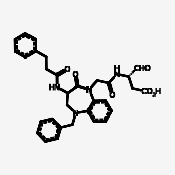 O=C[C@H](CC(=O)O)NC(=O)CN1C(=O)C(NC(=O)CCc2ccccc2)CN(Cc2ccccc2)c2ccccc21